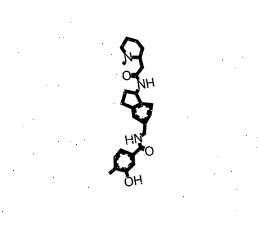 Cc1ccc(C(=O)NCc2ccc3c(c2)CCC3NC(=O)CC2CCCCN2C)cc1O